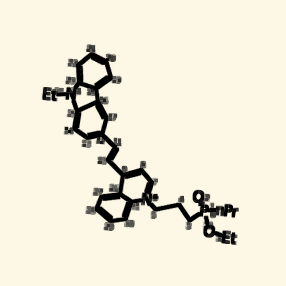 CCCP(=O)(CCC[n+]1ccc(C=Cc2ccc3c(c2)c2ccccc2n3CC)c2ccccc21)OCC